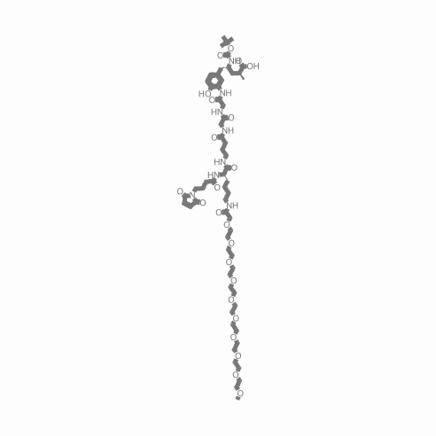 COCCOCCOCCOCCOCCOCCOCCOCCOCCOCC(=O)NCCCC[C@H](NC(=O)CCCN1C(=O)C=CC1=O)C(=O)NCCCC(=O)NCC(=O)NCC(=O)Nc1cc(C[C@@H](C[C@H](C)C(=O)O)NC(=O)OC(C)(C)C)ccc1O